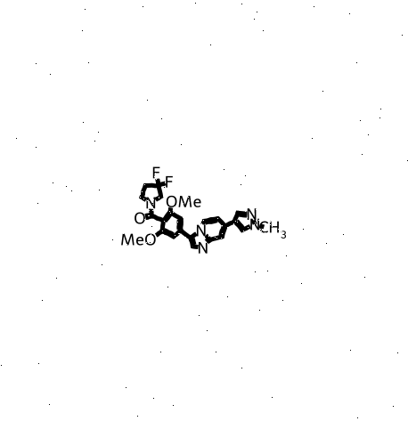 COc1cc(-c2cnc3cc(-c4cnn(C)c4)ccn23)cc(OC)c1C(=O)N1CCC(F)(F)C1